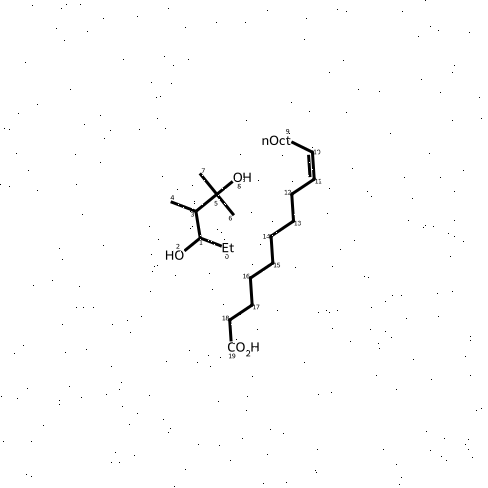 CCC(O)C(C)C(C)(C)O.CCCCCCCC/C=C\CCCCCCCC(=O)O